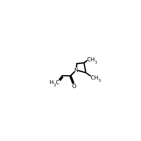 C=CC(=O)N1CC(C)C1C